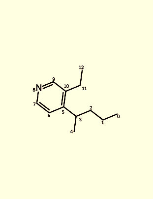 CCCC(C)c1ccncc1CC